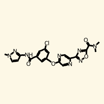 CN(C)C(=O)c1nc(-c2cnc(Oc3cc(Cl)cc(C(=O)Nc4ccn(C)n4)c3)cn2)no1